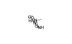 CCCCc1cc(N2CCC[C@@H](NC)C2)nc(Nc2ccc(C)c(OC)c2)n1